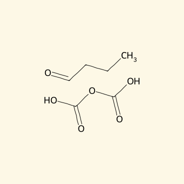 CCCC=O.O=C(O)OC(=O)O